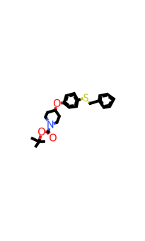 CC(C)(C)OC(=O)N1CCC(Oc2ccc(SCc3ccccc3)cc2)CC1